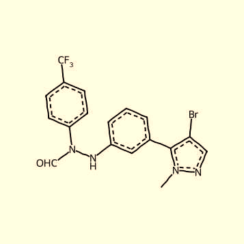 Cn1ncc(Br)c1-c1cccc(NN(C=O)c2ccc(C(F)(F)F)cc2)c1